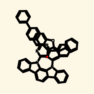 c1ccc(-c2ccc(-c3nc(-c4ccccc4)nc(-n4c5ccccc5c5ccc6c7ccccc7n(-c7cc(-c8ccccc8)c8oc9ccccc9c8c7)c6c54)n3)cc2)cc1